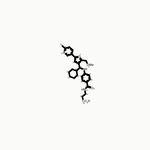 COCc1oc(-c2ccc(I)nc2)cc1C(Nc1ccc(C(=O)NCCC(=O)O)cc1)C1CCCCC1